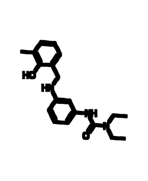 CCN(CC)C(=O)Nc1cccc(NCc2cccc(C)c2O)c1